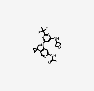 CC(=O)Nc1cc2c(cn1)C1(CC1)CN2c1cc(NC2COC2)nc(C(C)(F)F)n1